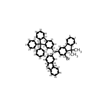 CC1(C)c2ccccc2-c2cc(N(c3ccc4c(c3)C(c3ccccc3)(c3ccccc3)c3ccccc3-4)c3ccc4sc5ccccc5c4c3)cc(Br)c21